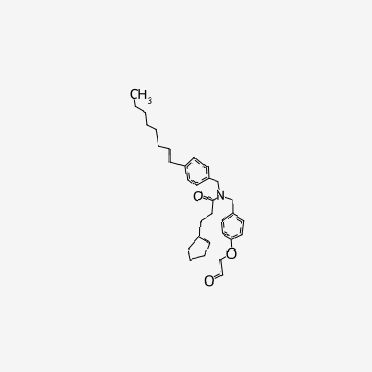 CCCCCCCCc1ccc(CN(Cc2ccc(OCC=O)cc2)C(=O)CCC2CCCC2)cc1